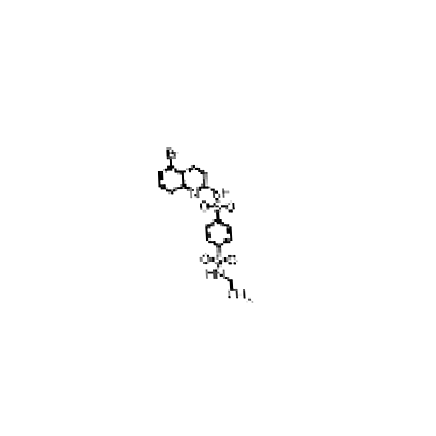 CCNS(=O)(=O)c1ccc(S(=O)(=O)Nc2ccc3c(Br)cccc3n2)cc1